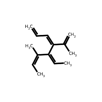 C=C\C=C(C(=C)C)/C(=C\C)C(/C)=C\C